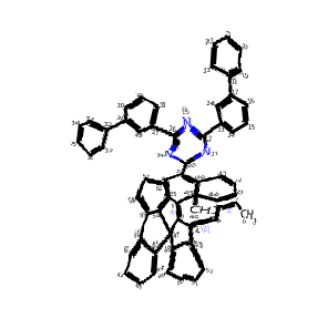 C\C=C/C=C1\C(=C2\C=CC(c3nc(-c4cccc(-c5ccccc5)c4)nc(-c4cccc(-c5ccccc5)c4)n3)=C3C=CC=CC32C)C2(c3ccccc31)c1ccccc1-c1ccccc12